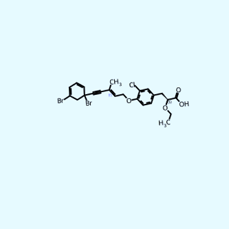 CCO[C@@H](Cc1ccc(OC/C=C(\C)C#CC2(Br)C=CC=C(Br)C2)c(Cl)c1)C(=O)O